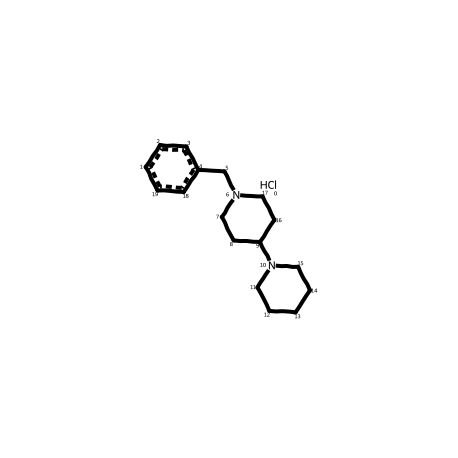 Cl.c1ccc(CN2CCC(N3CCCCC3)CC2)cc1